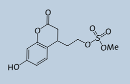 COS(=O)(=O)OCCC1CC(=O)Oc2cc(O)ccc21